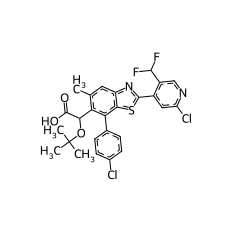 Cc1cc2nc(-c3cc(Cl)ncc3C(F)F)sc2c(-c2ccc(Cl)cc2)c1C(OC(C)(C)C)C(=O)O